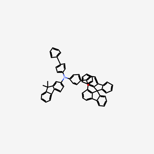 CC1(C)c2ccccc2-c2ccc(N(c3ccc(-c4ccccc4)cc3)c3ccc(-c4ccc5c(c4)C4(c6ccccc6-5)c5ccccc5-c5cccc(-c6ccccc6)c54)cc3)cc21